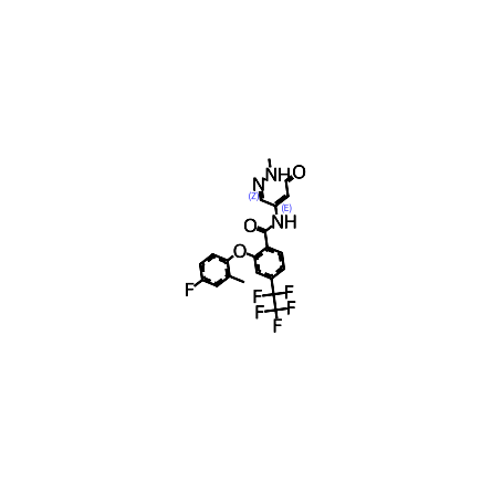 CN/N=C\C(=C/C=O)NC(=O)c1ccc(C(F)(F)C(F)(F)F)cc1Oc1ccc(F)cc1C